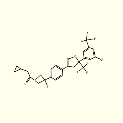 O=C(CC1CC1)N1CC(F)(c2ccc(C3=NOC(c4cc(Cl)cc(C(F)(F)F)c4)(C(F)(F)F)C3)cc2)C1